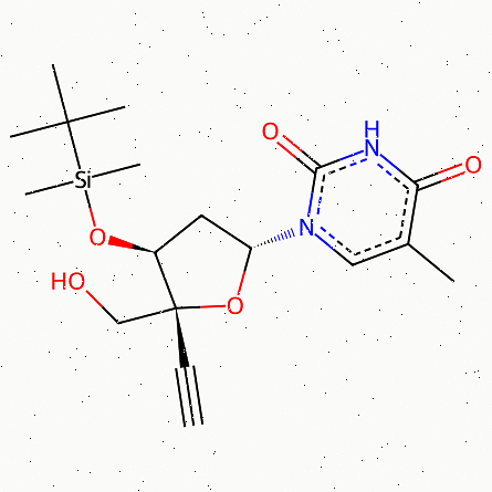 C#C[C@]1(CO)O[C@@H](n2cc(C)c(=O)[nH]c2=O)C[C@@H]1O[Si](C)(C)C(C)(C)C